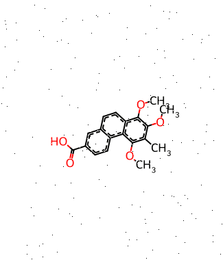 COc1c(C)c(OC)c2c(ccc3cc(C(=O)O)ccc32)c1OC